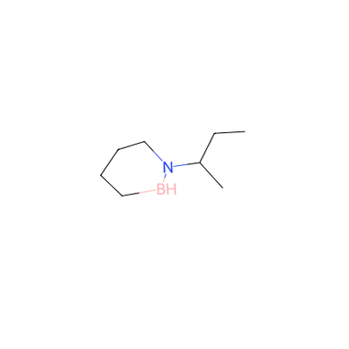 CCC(C)N1BCCCC1